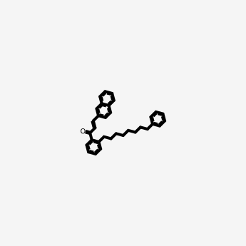 O=C(/C=C/c1ccc2ccccc2c1)c1ccccc1CCCCCCCCc1ccccc1